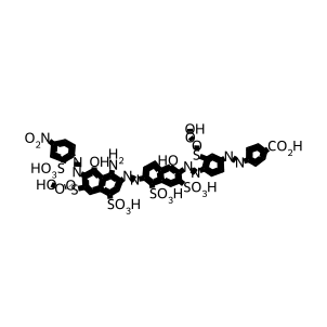 Nc1c(N=Nc2ccc3c(O)c(N=Nc4ccc(N=Nc5ccc(C(=O)O)cc5)cc4SOOO)c(S(=O)(=O)O)cc3c2S(=O)(=O)O)cc(S(=O)(=O)O)c2cc(SOOO)c(N=Nc3ccc([N+](=O)[O-])cc3S(=O)(=O)O)c(O)c12